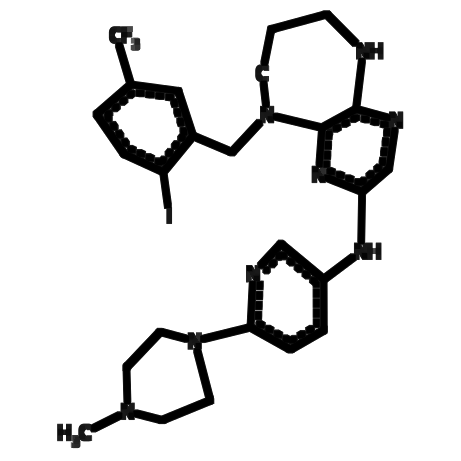 CN1CCN(c2ccc(Nc3cnc4c(n3)N(Cc3cc(C(F)(F)F)ccc3I)CCCN4)cn2)CC1